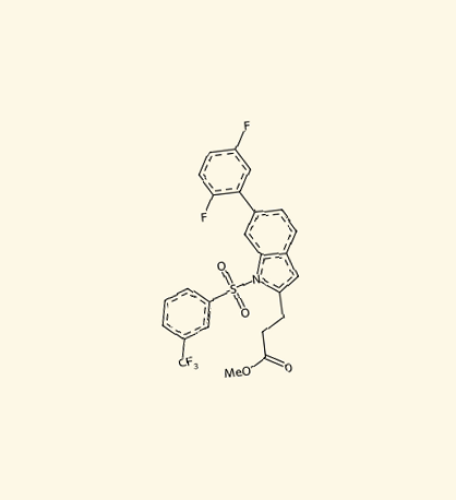 COC(=O)CCc1cc2ccc(-c3cc(F)ccc3F)cc2n1S(=O)(=O)c1cccc(C(F)(F)F)c1